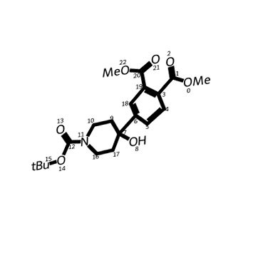 COC(=O)c1ccc(C2(O)CCN(C(=O)OC(C)(C)C)CC2)cc1C(=O)OC